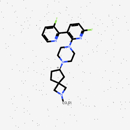 CCOC(=O)N1CC2(CC[C@@H](N3CCN(c4nc(F)ccc4-c4ncccc4F)CC3)C2)C1